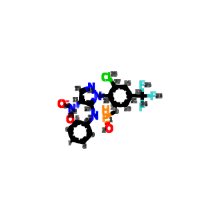 C[PH](=O)N(c1ccccc1)c1c([N+](=O)[O-])cnn1-c1ccc(C(F)(F)F)cc1Cl